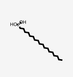 CCCCCCCCCCCCCCCCCCP(O)O